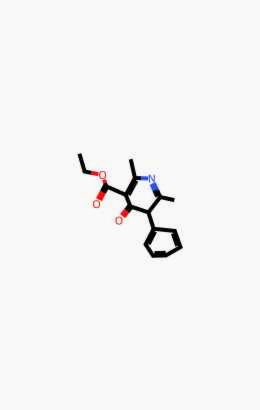 CCOC(=O)C1=C(C)N=C(C)C(c2ccccc2)C1=O